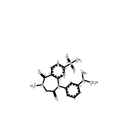 CN1CC(=O)N(c2cccc(N(C(=O)O)C(C)(C)C)c2)c2nc(S(C)(=O)=O)ncc2C1=O